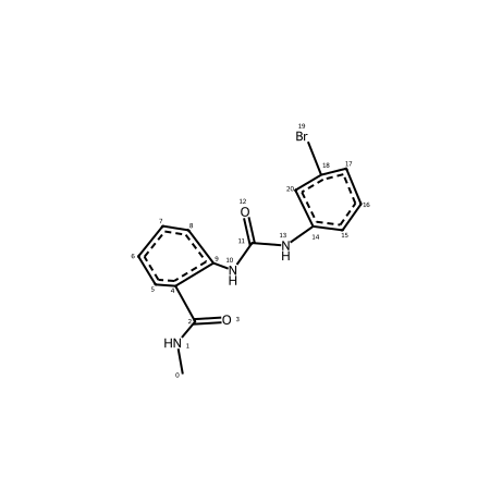 CNC(=O)c1ccccc1NC(=O)Nc1cccc(Br)c1